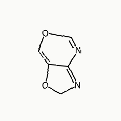 C1=NC2=NCOC2=CO1